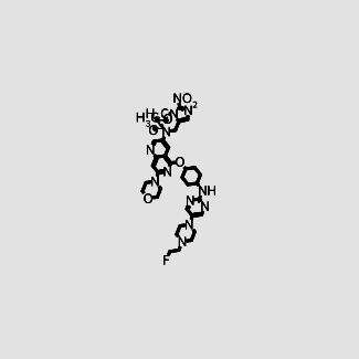 Cn1c(CN(c2cnc3cc(N4CCOCC4)nc(OC4CCC(Nc5ncc(N6CCN(CCF)CC6)cn5)CC4)c3c2)S(C)(=O)=O)cnc1[N+](=O)[O-]